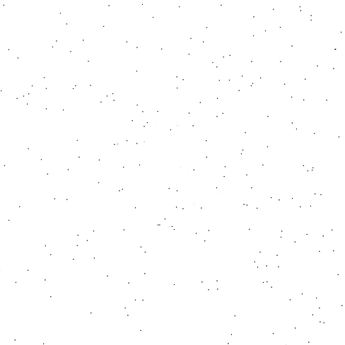 CCC(C)C(=O)O.O=Cc1ccccc1Cl